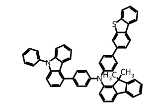 CC1(C)c2ccccc2-c2cccc(N(c3ccc(-c4ccc5c(c4)sc4ccccc45)cc3)c3ccc(-c4cccc5c4c4ccccc4n5-c4ccccc4)cc3)c21